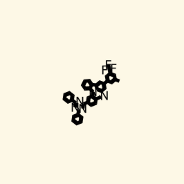 Cc1cc(-c2ccc3c(c2)c2ccccc2n3-c2cc(-c3nc(-c4ccccc4)nc(-c4ccccc4)n3)ccc2C#N)cc(C(F)(F)F)c1